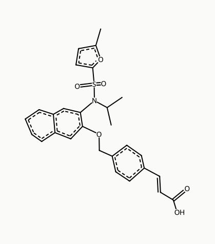 Cc1ccc(S(=O)(=O)N(c2cc3ccccc3cc2OCc2ccc(C=CC(=O)O)cc2)C(C)C)o1